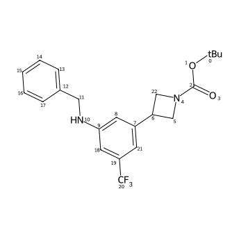 CC(C)(C)OC(=O)N1CC(c2cc(NCc3ccccc3)cc(C(F)(F)F)c2)C1